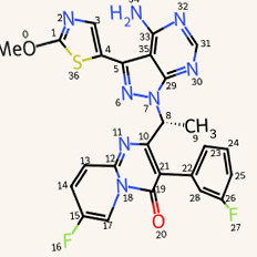 COc1ncc(-c2nn([C@H](C)c3nc4ccc(F)cn4c(=O)c3-c3cccc(F)c3)c3ncnc(N)c23)s1